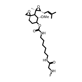 CO[C@@H]1C(OC(=O)NCCCCCCNC(=O)CNF)CC[C@]2(CO2)C1[C@@]1(C)O[C@@H]1CC=C(C)C